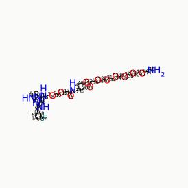 CCCCNc1nc(NCCOCCOCCC(=O)NCc2ccc(OC(=O)CCOCCOCCOCCOCCOCCOCCN)cc2)nc(NCc2cccc(F)c2)n1